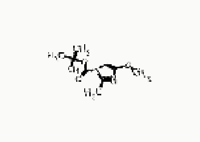 COc1cn(C(=O)OC(C)(C)C)c(C)n1